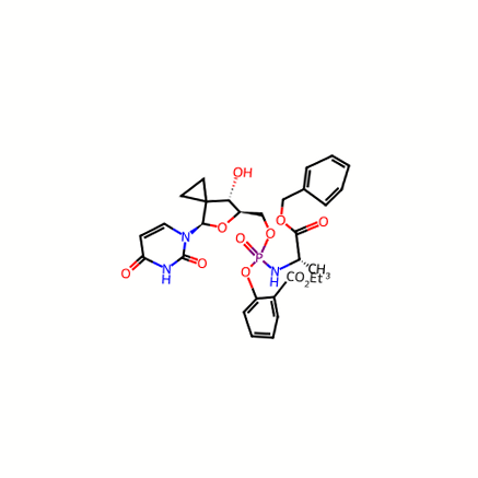 CCOC(=O)c1ccccc1OP(=O)(N[C@@H](C)C(=O)OCc1ccccc1)OC[C@H]1O[C@@H](n2ccc(=O)[nH]c2=O)C2(CC2)[C@@H]1O